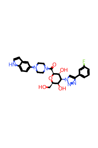 O=C([C@@H]1O[C@H](CO)[C@H](O)[C@H](n2cc(-c3cccc(F)c3)nn2)[C@H]1O)N1CCN(c2ccc3[nH]ccc3c2)CC1